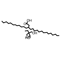 CCC(CO)(CO)CO.CCCCCCCCCCCCCCC(CCCCCCCCCCCC)CC(=O)O